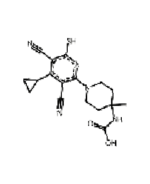 CC1(NC(=O)O)CCN(c2nc(S)c(C#N)c(C3CC3)c2C#N)CC1